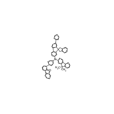 CC1(C)c2ccccc2-c2ccc(N(c3ccc(-c4cccc5c4oc4ccccc45)cc3)c3ccc4c(c3)C3(Cc5ccccc5C3)c3cc(-c5ccccc5)ccc3-4)cc21